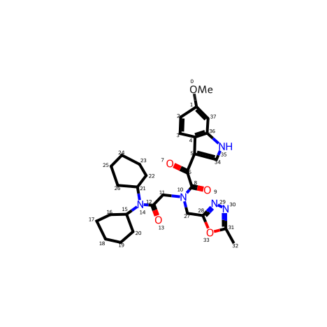 COc1ccc2c(C(=O)C(=O)N(CC(=O)N(C3CCCCC3)C3CCCCC3)Cc3nnc(C)o3)c[nH]c2c1